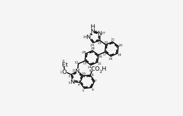 CCOc1nc2cccc(C(=O)O)c2n1Cc1ccc(-c2ccccc2-c2cn[nH]n2)cc1